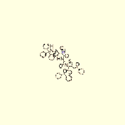 CO/N=C(/C(=O)NC1C(=O)N2C(C(=O)OC(c3ccccc3)c3ccccc3)=C(CC(=O)c3ccccc3)CSC12)c1csc(NC(c2ccccc2)(c2ccccc2)c2ccccc2)n1